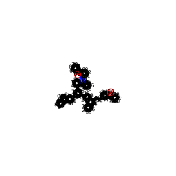 CC1(C)c2ccccc2-c2ccc(-c3cc(-c4ccc5c(c4)-c4ccccc4CC5CCc4ccc5oc6ccccc6c5c4)cc(-c4cccc5c4c4ccccc4n5-c4cccc5c4oc4ccccc45)c3)cc21